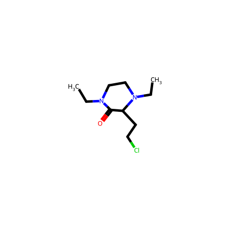 CCN1CCN(CC)C(CCCl)C1=O